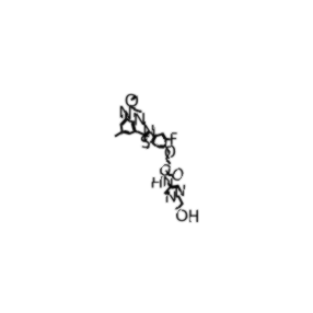 COc1cnc2c(-c3nc4cc(F)c(OCCOC(=O)Nc5cnc(CCO)nc5)cc4s3)cc(C)cc2n1